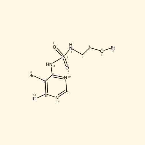 CCOCCNS(=O)(=O)Nc1ncnc(Cl)c1Br